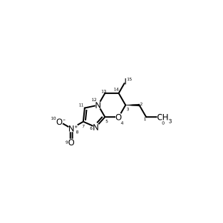 CCC[C@H]1Oc2nc([N+](=O)[O-])cn2CC1I